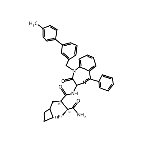 CCC[C@H](C(N)=O)[C@@H](CC1CCC1)C(=O)NC1N=C(c2ccccc2)c2ccccc2N(Cc2cccc(-c3ccc(C)cc3)c2)C1=O